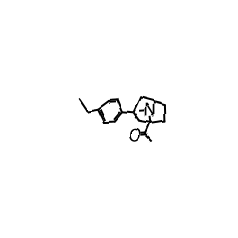 CCc1ccc(C2CC3CCC(C(C)=O)(C2)N3C)cc1